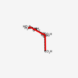 BNC(CCCCNC(=O)C(N)CCCCCCCCCNC(=O)CCC(NC(=O)CCCCCCCCCCCCCCCCCCC(=O)O)C(=O)O)C(=O)O